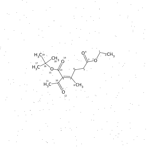 CCOC(=O)CC/C(C)=C(/C(C)=O)C(=O)OC(C)(C)C